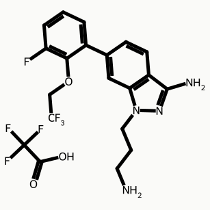 NCCCn1nc(N)c2ccc(-c3cccc(F)c3OCC(F)(F)F)cc21.O=C(O)C(F)(F)F